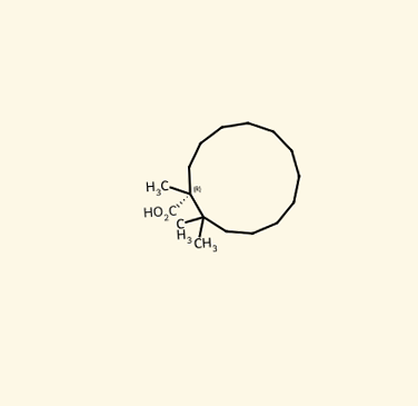 CC1(C)CCCCCCCCCCC[C@@]1(C)C(=O)O